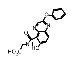 O=C(O)CNC(=O)c1c(O)ccc2nc(Oc3ccccc3)cnc12